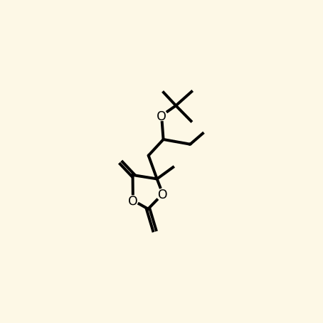 C=C1OC(=C)C(C)(CC(CC)OC(C)(C)C)O1